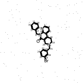 O=c1c2c(c3cccnc3n1Cc1ccccc1)CCN(Cc1cccc(Br)c1)C2